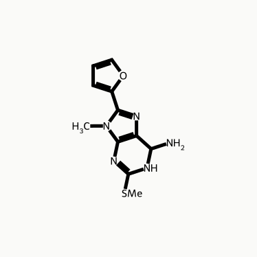 CSC1=Nc2c(nc(-c3ccco3)n2C)C(N)N1